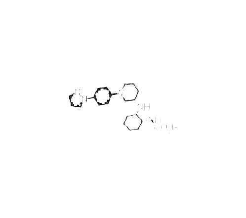 O=C(O)N[C@@H]1CCCC[C@H]1N[C@H]1CCCN(c2ccc(-n3cccn3)cc2)C1